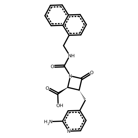 Nc1cc(C[C@H]2C(=O)N(C(=O)NCc3cccc4ccccc34)[C@@H]2C(=O)O)ccn1